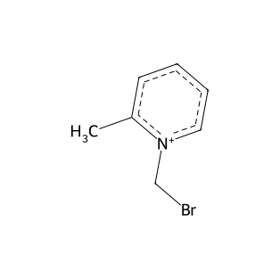 Cc1cccc[n+]1CBr